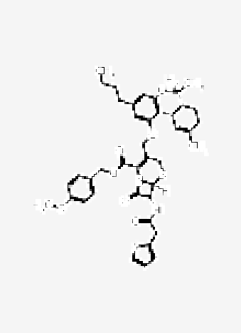 C=C(C)[C@@H]1CCC(C)=C[C@H]1c1c(O)cc(CCCC)cc1OCC1=C(C(=O)OCc2ccc(OC)cc2)N2C(=O)[C@@H](NC(=O)Cc3cccs3)[C@H]2SC1